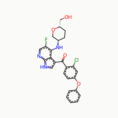 O=C(c1ccc(Oc2ccccc2)cc1Cl)c1c[nH]c2ncc(F)c(N[C@@H]3CC[C@@H](CO)OC3)c12